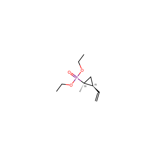 C=C[C@@H]1C[C@]1(C)P(=O)(OCC)OCC